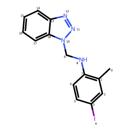 Cc1cc(I)ccc1NCn1nnc2ccccc21